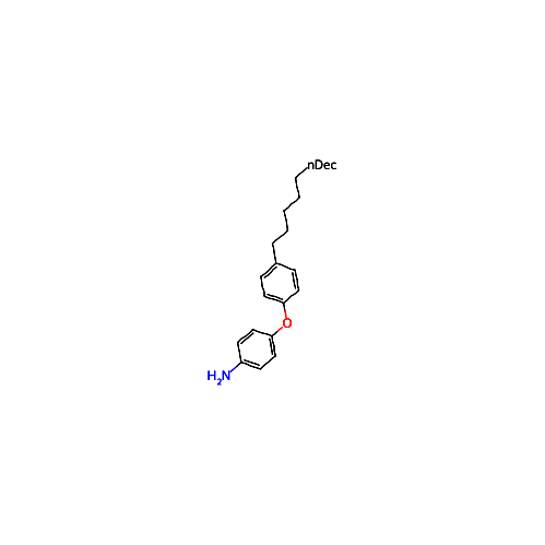 CCCCCCCCCCCCCCCc1ccc(Oc2ccc(N)cc2)cc1